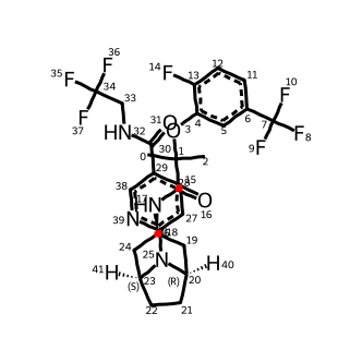 CC(C)(Oc1cc(C(F)(F)F)ccc1F)C(=O)N[C@H]1C[C@H]2CC[C@@H](C1)N2c1ccc(C(=O)NCC(F)(F)F)cn1